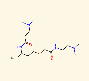 CN(C)CCNC(=O)CSCC[C@H](NC(=O)CCN(C)C)C(=O)O